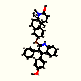 COc1ccc(-c2c(-c3ccccc3)c(Sc3ccc4c(c3)CC[C@H]3N(C)C(=O)CC[C@]43C)nc3ccccc23)cc1